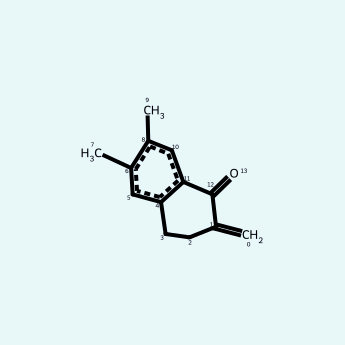 C=C1CCc2cc(C)c(C)cc2C1=O